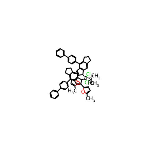 Cc1ccc(C2=Cc3c(cc4c(c3-c3ccc(-c5ccccc5)cc3)CCC4)[CH]2[Zr]([Cl])([Cl])([CH]2C(c3ccc(C)o3)=Cc3c2cc2c(c3-c3ccc(-c4ccccc4)cc3)CCC2)[SiH](C)C)o1